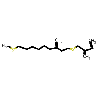 C=CC(=C)CSCCC(=C)CCCCCCSC